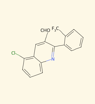 O=Cc1cc2c(Cl)cccc2nc1-c1ccccc1C(F)(F)F